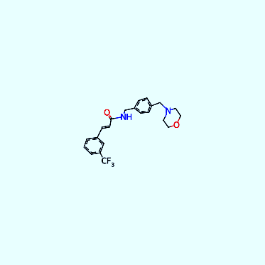 O=C(C=Cc1cccc(C(F)(F)F)c1)NCc1ccc(CN2CCOCC2)cc1